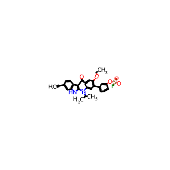 C#Cc1ccc2c(c1)[nH]c1c2c(=O)c2cc(OCC)c(-c3cccc(OS(=O)(=O)F)c3)cc2n1C(C)C